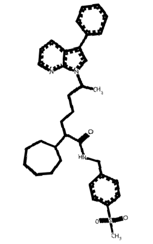 CC(CCCC(C(=O)NCc1ccc(S(C)(=O)=O)cc1)C1CCCCCC1)n1cc(-c2ccccc2)c2cccnc21